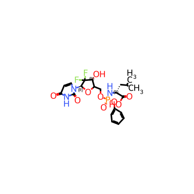 CC(C)C[C@@H](NP(=O)(OCC1O[C@@H](n2ccc(=O)[nH]c2=O)C(F)(F)[C@@H]1O)Oc1ccccc1)C(=O)O